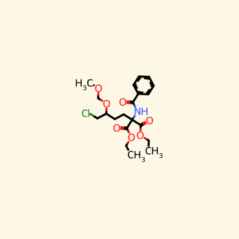 CCOC(=O)C(CCC(CCl)OCOC)(NC(=O)c1ccccc1)C(=O)OCC